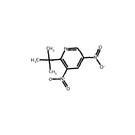 CC(C)(C)c1ncc([N+](=O)[O-])cc1[N+](=O)[O-]